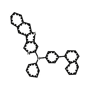 c1ccc(N(c2ccc(-c3cccc4ccccc34)cc2)c2cc3sc4cc5ccccc5cc4c3cn2)cc1